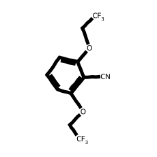 N#Cc1c(OCC(F)(F)F)cccc1OCC(F)(F)F